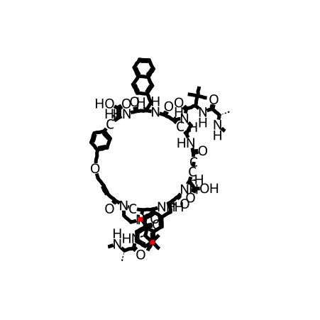 CN[C@@H](C)C(=O)NC(C(=O)N1C[C@@H]2C[C@H]1C(=O)N[C@@H](Cc1ccc3ccccc3c1)C(=O)N[C@H](C(=O)O)Cc1ccc(cc1)OC/C=C/C(=O)N1CCN(C(=O)[C@@H](NC(=O)[C@H](C)NC)C(C)(C)C)[C@@H](C1)C(=O)N[C@@H](Cc1ccc3ccccc3c1)C(=O)N[C@H](C(=O)O)CCC(=O)N2)C(C)(C)C